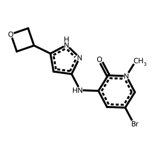 Cn1cc(Br)cc(Nc2cc(C3COC3)[nH]n2)c1=O